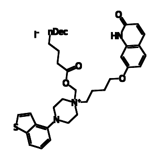 CCCCCCCCCCCCCC(=O)OC[N+]1(CCCCOc2ccc3ccc(=O)[nH]c3c2)CCN(c2cccc3sccc23)CC1.[I-]